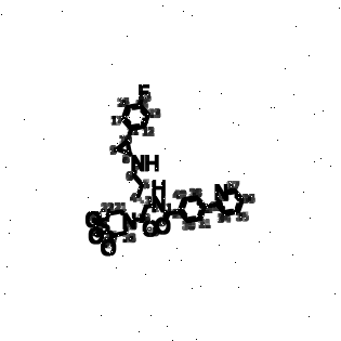 O=C(N[C@@H](CCCN[C@@H]1C[C@H]1c1ccc(F)cc1)C(=O)N1CCS(=O)(=O)C(=O)C1)c1ccc(-c2ccccn2)cc1